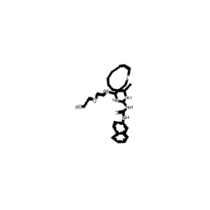 CC1NC(NC(=O)Nc2ccc3ccccc3c2)NC(NCCOCCO)C12CCCCCCCCC2